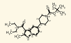 CCN(CC)C(=O)c1c(C)nn2ccc(C3CCN(C(=O)OC(C)(C)C)CC3)cc12